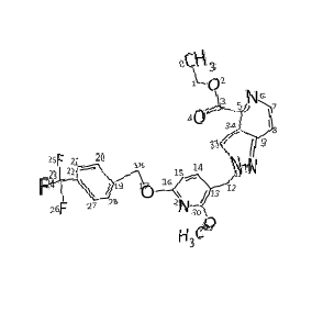 CCOC(=O)c1nccc2nn(Cc3ccc(OCc4ccc(C(F)(F)F)cc4)nc3OC)cc12